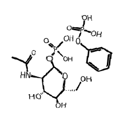 CC(=O)N[C@H]1C(OP(=O)(O)O)O[C@H](CO)[C@@H](O)[C@@H]1O.O=P(O)(O)Oc1ccccc1